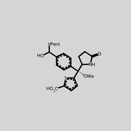 CCCCCC(O)c1ccc([C@](OC)(c2ccc(C(=O)O)s2)C2CCC(=O)N2)cc1